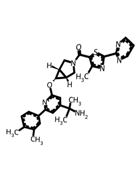 Cc1ccc(-c2cc(C(C)(C)N)cc(O[C@@H]3[C@@H]4CN(C(=O)c5sc(-c6ncccn6)nc5C)C[C@@H]43)n2)cc1C